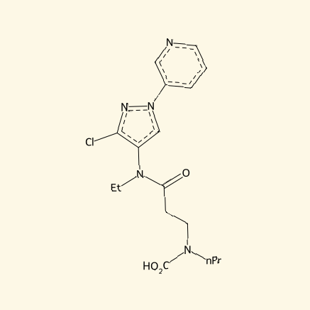 CCCN(CCC(=O)N(CC)c1cn(-c2cccnc2)nc1Cl)C(=O)O